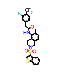 Cc1ccc2c(c1NC(=O)Cc1ccc(C(F)(F)F)c(F)c1)CCN(S(=O)(=O)c1csc3ccccc13)C2